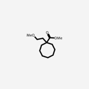 COCCC1(C(=O)OC)CCCCCCC1